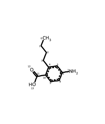 CCCCc1cc(N)ccc1C(=O)O